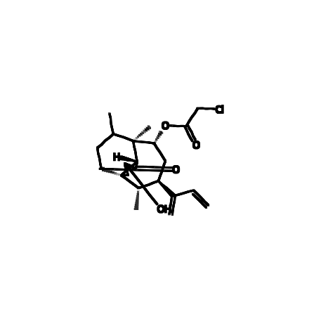 C=CC(=C)[C@@H]1C[C@@H](OC(=O)CCl)[C@]2(C)C(C)CC[C@]3(CC(O)C(=O)[C@H]32)[C@H]1C